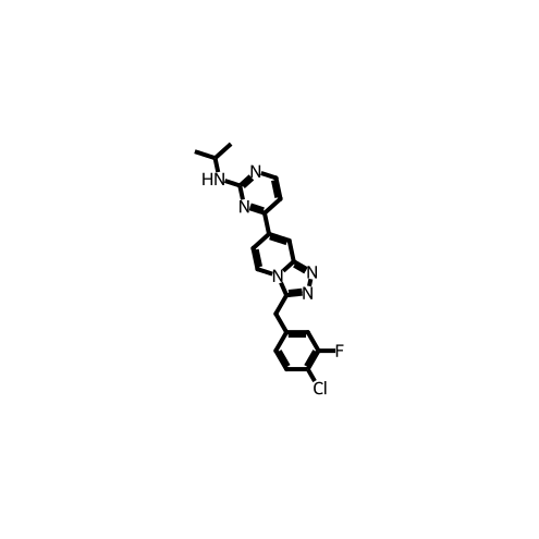 CC(C)Nc1nccc(-c2ccn3c(Cc4ccc(Cl)c(F)c4)nnc3c2)n1